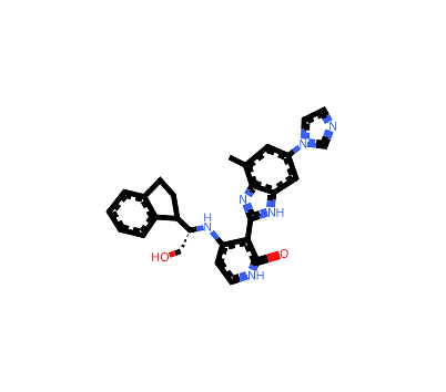 Cc1cc(-n2ccnc2)cc2[nH]c(-c3c(N[C@H](CO)C4CCc5ccccc54)cc[nH]c3=O)nc12